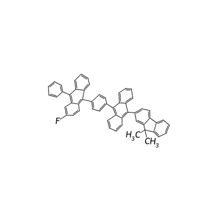 CC1(C)c2ccccc2-c2ccc(-c3c4ccccc4c(-c4ccc(-c5c6ccccc6c(-c6ccccc6)c6cc(F)ccc56)cc4)c4ccccc34)cc21